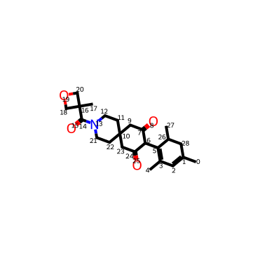 CC1=CC(C)=C(C2C(=O)CC3(CCN(C(=O)C4(C)COC4)CC3)CC2=O)C(C)C1